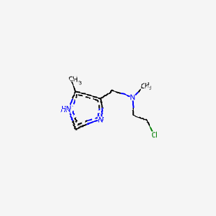 Cc1[nH]cnc1CN(C)CCCl